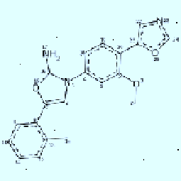 COc1cc(N2C=C(c3ccccc3C)OC2N)ccc1-c1cnco1